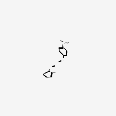 CN(C)c1ccc(/N=N/N=N/c2ccccc2S(=O)(=O)O)cc1